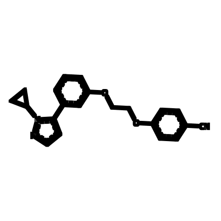 N#Cc1ccc(OCCOc2cccc(-c3ccnn3C3CC3)c2)cc1